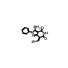 CC(C)/C=C1/C(=O)NC(=O)c2c1nn(-c1ccccc1)c2N